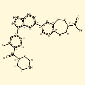 Cc1cc(-c2n[nH]c3ncc(-c4ccc5c(c4)CCN(C(=O)C(C)C)CC5)cc23)ccc1C(=O)N1CCNCC1